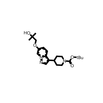 CC(C)(O)COc1ccc2c(C3CCN(C(=O)OC(C)(C)C)CC3)cnn2c1